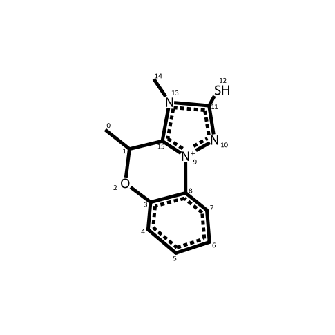 CC1Oc2ccccc2-[n+]2nc(S)n(C)c21